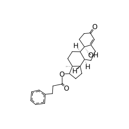 C[C@]12CC[C@@H]3[C@@H](CCC4=CC(=O)CC[C@@]43CO)[C@@H]1CCC2OC(=O)CCc1ccccc1